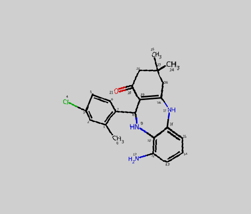 Cc1cc(Cl)ccc1C1Nc2c(N)cccc2NC2=C1C(=O)CC(C)(C)C2